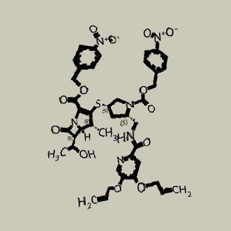 C=CCOc1cnc(C(=O)NC[C@@H]2C[C@H](SC3=C(C(=O)OCc4ccc([N+](=O)[O-])cc4)N4C(=O)[C@H](C(C)O)[C@H]4[C@H]3C)CN2C(=O)OCc2ccc([N+](=O)[O-])cc2)cc1OCC=C